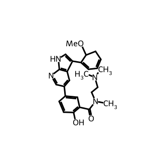 COC1CC=CC=C1c1c[nH]c2ncc(-c3ccc(O)c(C(=O)N(C)CCN(C)C)c3)cc12